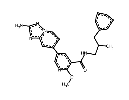 COc1ncc(-c2ccn3nc(N)nc3c2)cc1C(=O)NCC(C)Cc1ccccc1